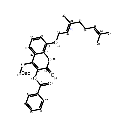 CCCCCCCCCCOc1c(OC(=O)c2ccccc2)c(=O)oc2c(OC/C=C(\C)CCC=C(C)C)cccc12